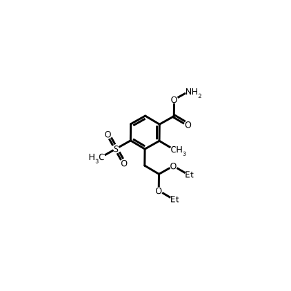 CCOC(Cc1c(S(C)(=O)=O)ccc(C(=O)ON)c1C)OCC